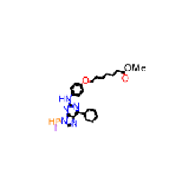 COC(=O)CCCCCCOc1ccc(Nc2nc(C3CCCCC3)c3ncn(PI)c3n2)cc1